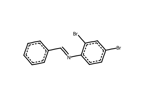 Brc1ccc(N=Cc2ccccc2)c(Br)c1